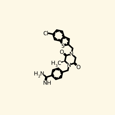 C[C@H]1C(=O)N(Cc2cc3ccc(Cl)cc3s2)CC(=O)N1Cc1ccc(C(=N)N)cc1